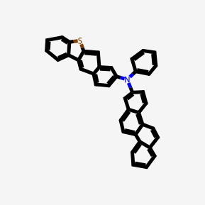 c1ccc(N(c2ccc3cc4c(cc3c2)sc2ccccc24)c2ccc3c(ccc4c5ccccc5ccc34)c2)cc1